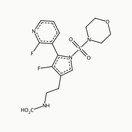 O=C(O)NCCc1cn(S(=O)(=O)N2CCOCC2)c(-c2cccnc2F)c1F